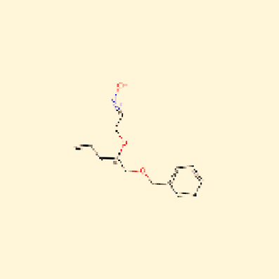 C=CC[C@H](COCc1ccccc1)OC/C=N/O